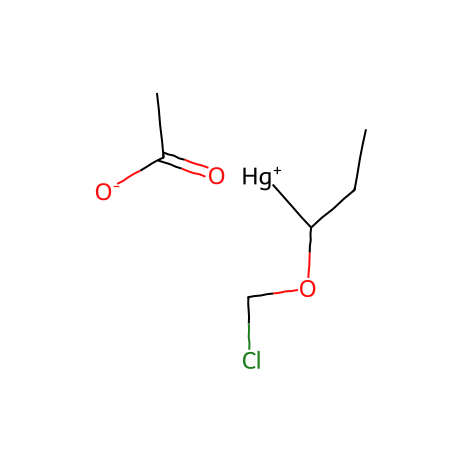 CC(=O)[O-].CC[CH]([Hg+])OCCl